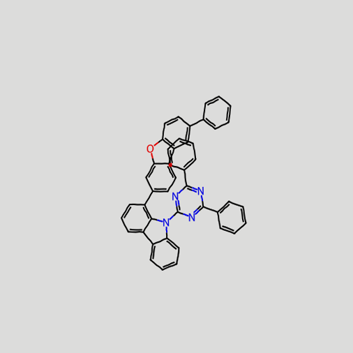 c1ccc(-c2ccc3oc4cc(-c5cccc6c7ccccc7n(-c7nc(-c8ccccc8)nc(-c8ccccc8)n7)c56)ccc4c3c2)cc1